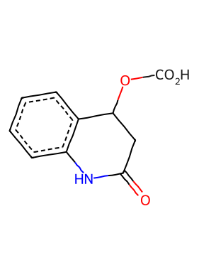 O=C1CC(OC(=O)O)c2ccccc2N1